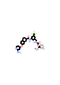 CC(C)(C)OC(=O)NCc1cc(NC(=O)C2CCc3ccc(Oc4ccnc(N)c4)cc3C2)cc(C(F)(F)F)c1